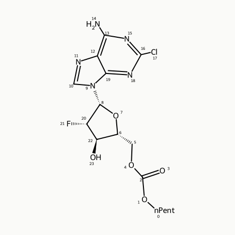 CCCCCOC(=O)OC[C@H]1O[C@@H](n2cnc3c(N)nc(Cl)nc32)[C@@H](F)[C@@H]1O